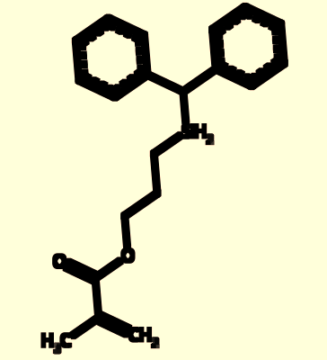 C=C(C)C(=O)OCCC[SiH2]C(c1ccccc1)c1ccccc1